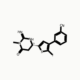 CN1C(=N)N[C@H](c2cc(-c3cccc(C#N)c3)c(I)s2)CC1=O